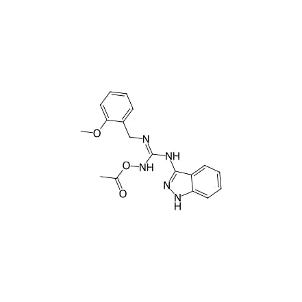 COc1ccccc1CN=C(NOC(C)=O)Nc1n[nH]c2ccccc12